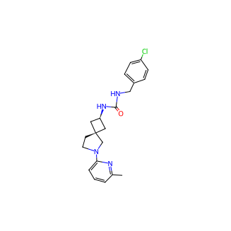 Cc1cccc(N2CC[C@]3(C2)C[C@H](NC(=O)NCc2ccc(Cl)cc2)C3)n1